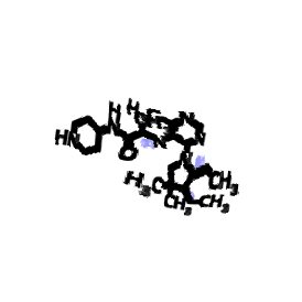 C/C=C1\C(=C/C)N(c2ncnc(C)c2/N=C(\C)C(=O)NC2CCNCC2)CC1(C)C